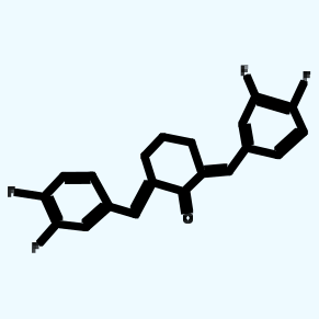 O=C1/C(=C/c2ccc(F)c(F)c2)CCC/C1=C\c1ccc(F)c(F)c1